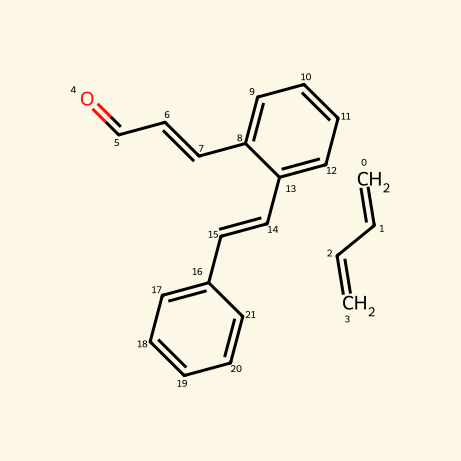 C=CC=C.O=CC=Cc1ccccc1C=Cc1ccccc1